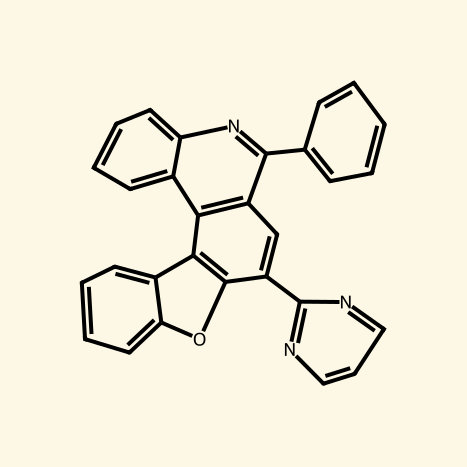 c1ccc(-c2nc3ccccc3c3c2cc(-c2ncccn2)c2oc4ccccc4c23)cc1